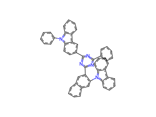 c1ccc(-c2nc(-c3ccc4c(c3)c3ccccc3n4-c3ccccc3)nc(-c3cc4ccccc4cc3-n3c4ccccc4c4ccccc43)n2)cc1